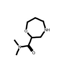 CN(C)C(=O)C1CNCCCO1